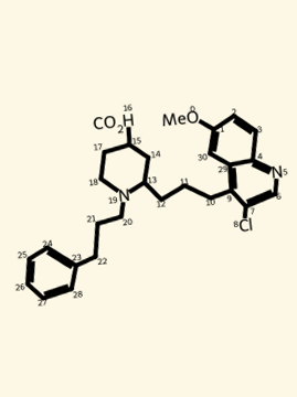 COc1ccc2ncc(Cl)c(CCCC3CC(C(=O)O)CCN3CCCc3ccccc3)c2c1